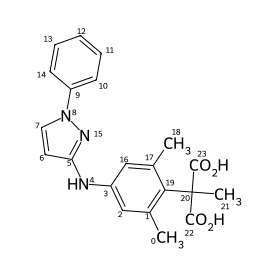 Cc1cc(Nc2ccn(-c3ccccc3)n2)cc(C)c1C(C)(C(=O)O)C(=O)O